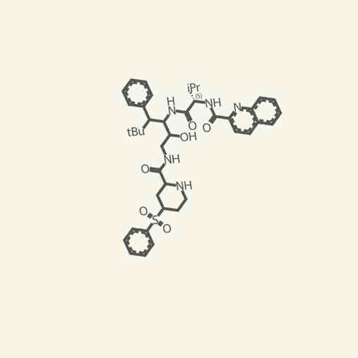 CC(C)[C@H](NC(=O)c1ccc2ccccc2n1)C(=O)NC(C(O)CNC(=O)C1CC(S(=O)(=O)c2ccccc2)CCN1)C(c1ccccc1)C(C)(C)C